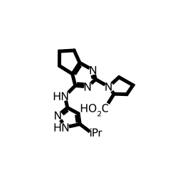 CC(C)c1cc(Nc2nc(N3CCCC3C(=O)O)nc3c2CCC3)n[nH]1